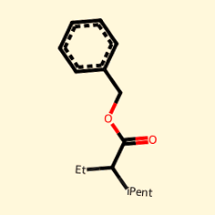 CCCC(C)C(CC)C(=O)OCc1ccccc1